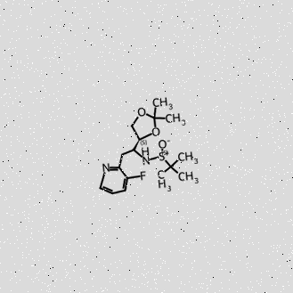 CC1(C)OC[C@H](C(Cc2ncccc2F)N[S@+]([O-])C(C)(C)C)O1